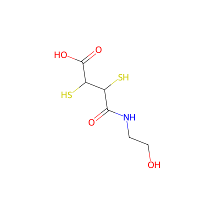 O=C(O)C(S)C(S)C(=O)NCCO